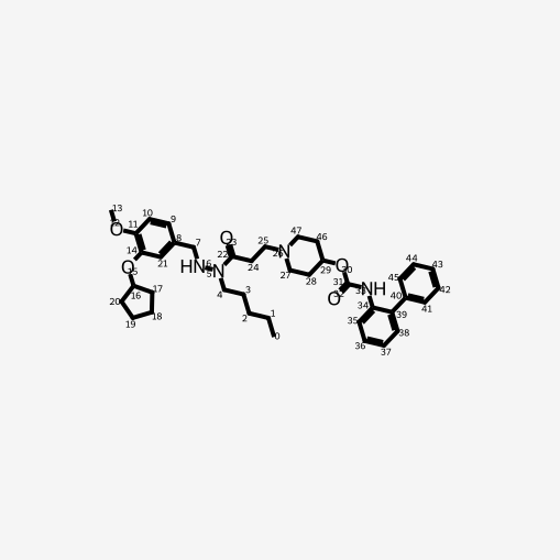 CCCCCN(NCc1ccc(OC)c(OC2CCCC2)c1)C(=O)CCN1CCC(OC(=O)Nc2ccccc2-c2ccccc2)CC1